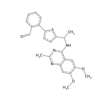 COc1cc2nc(C)nc(NC(C)c3ccc(-c4ccccc4C=O)s3)c2cc1OC